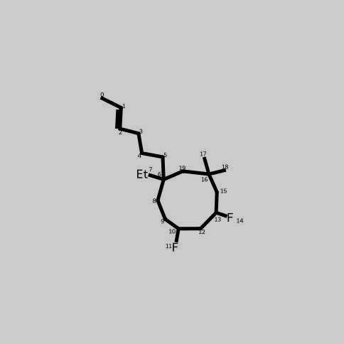 C/C=C/CCCC1(CC)CCC(F)CC(F)CC(C)(C)C1